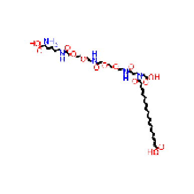 N[C@@H](CCCCNC(=O)COCCOCCNC(=O)COCCOCCNC(=O)CCN(CC(=O)O)C(=O)CCCCCCCCCCCCCCCCCCC(=O)O)C(=O)O